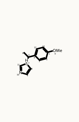 COc1ccc(C(C)[SH]2C=CN=C2)cc1